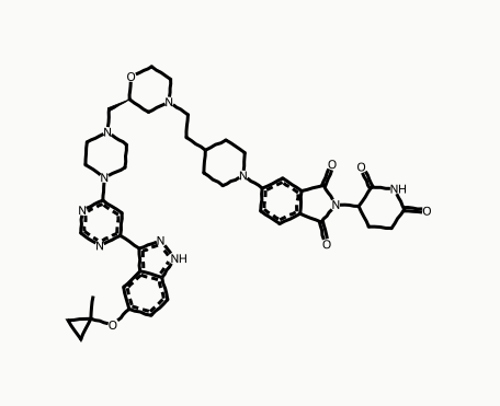 CC1(Oc2ccc3[nH]nc(-c4cc(N5CCN(C[C@@H]6CN(CCC7CCN(c8ccc9c(c8)C(=O)N(C8CCC(=O)NC8=O)C9=O)CC7)CCO6)CC5)ncn4)c3c2)CC1